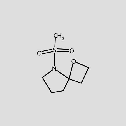 CS(=O)(=O)N1CCCC12CCO2